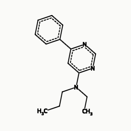 CCCN(CC)c1cc(-c2ccccc2)ncn1